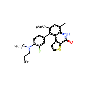 COc1cc(C)c2[nH]c(=O)c3sccc3c2c1-c1ccc(N(CCC(C)C)C(=O)O)c(F)c1